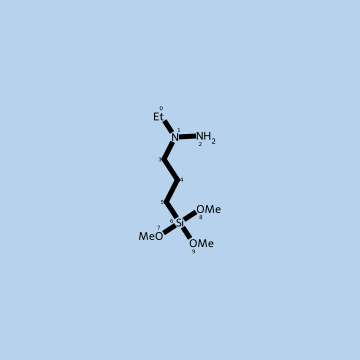 CCN(N)CCC[Si](OC)(OC)OC